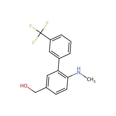 CNc1ccc(CO)cc1-c1cccc(C(F)(F)F)c1